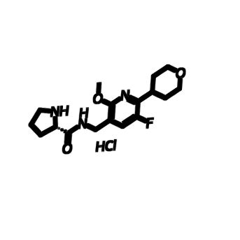 COc1nc(C2CCOCC2)c(F)cc1CNC(=O)[C@@H]1CCCN1.Cl